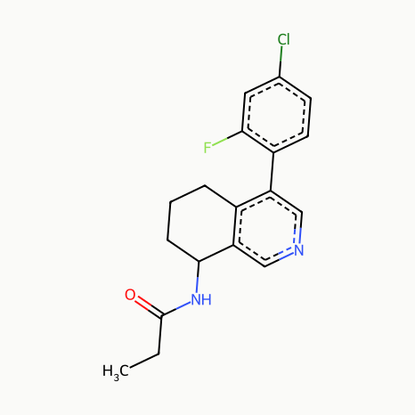 CCC(=O)NC1CCCc2c(-c3ccc(Cl)cc3F)cncc21